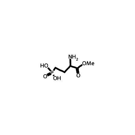 COC(=O)C(N)CCP(=O)(O)O